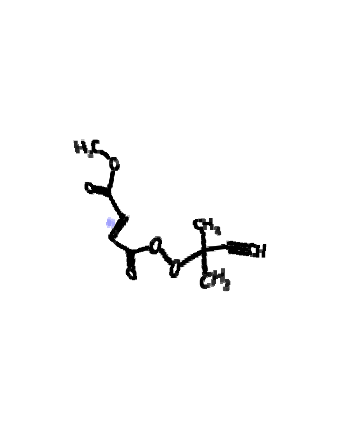 C#CC(C)(C)OOC(=O)/C=C/C(=O)OC